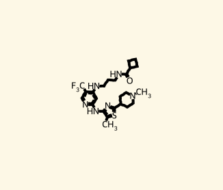 Cc1sc(C2CCN(C)CC2)nc1Nc1cc(NCCCNC(=O)C2CCC2)c(C(F)(F)F)cn1